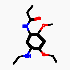 CCNc1cc(NC(=O)CC)c(OC)cc1OCC